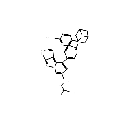 COc1ccc(CN2C3CC2CN(c2ccc(-c4cc(OCC(F)F)cn5nc6[nH]ncc6c45)cn2)C3)cn1